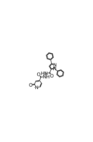 O=C1C=C(C(=O)NNC(=O)c2cc(-c3ccccc3)nn2-c2ccccc2)C=C[N]1